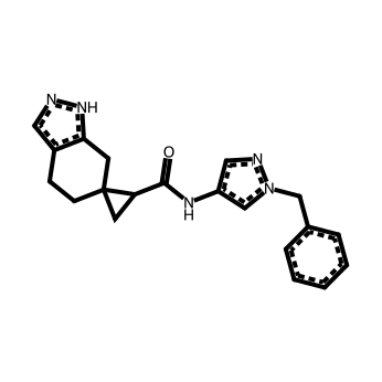 O=C(Nc1cnn(Cc2ccccc2)c1)C1CC12CCc1cn[nH]c1C2